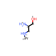 CC(C)NC[C@@H](N)CO